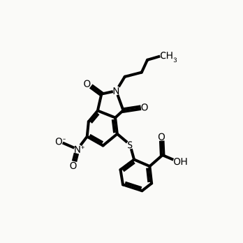 CCCCN1C(=O)c2cc([N+](=O)[O-])cc(Sc3ccccc3C(=O)O)c2C1=O